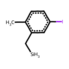 Cc1ccc(I)cc1C[SiH3]